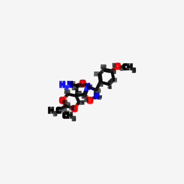 COc1ccc(-c2noc(C3(C(N)=O)COC(C)(C)OC3)n2)cc1